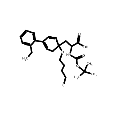 CCc1ccccc1C1=CCC(CC(NC(=O)OC(C)(C)C)C(=O)O)(OCCCCCl)C=C1